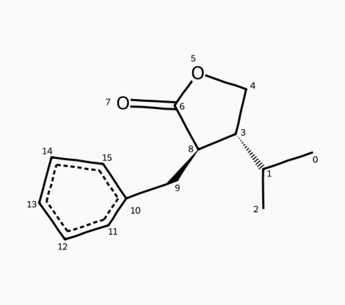 CC(C)[C@H]1COC(=O)[C@@H]1Cc1ccccc1